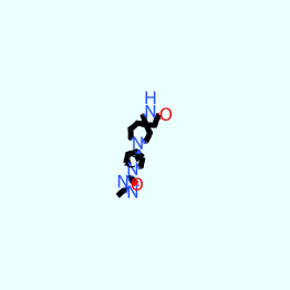 Cc1noc(N2CC3CCC2CC3N2CCCC3(CC2)CNC(=O)C3)n1